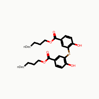 CCCCCCCCCCCCCOC(=O)c1ccc(O)c(Sc2cc(C(=O)OCCCCCCCCCCCCC)ccc2O)c1